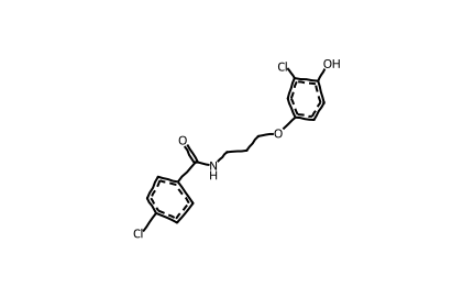 O=C(NCCCOc1ccc(O)c(Cl)c1)c1ccc(Cl)cc1